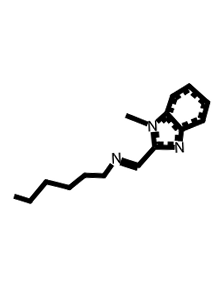 CCCCCC/N=C/c1nc2ccccc2n1C